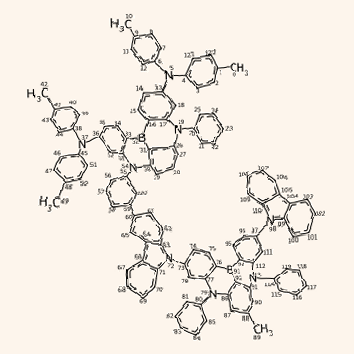 Cc1ccc(N(c2ccc(C)cc2)c2ccc3c(c2)N(c2ccccc2)c2cccc4c2B3c2ccc(N(c3ccc(C)cc3)c3ccc(C)cc3)cc2N4c2cccc(-c3ccc4c(c3)c3ccccc3n4-c3ccc4c(c3)N(c3ccccc3)c3cc(C)cc5c3B4c3ccc(-n4c6ccccc6c6ccccc64)cc3N5c3ccccc3)c2)cc1